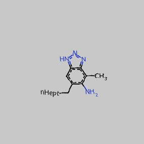 CCCCCCCCc1cc2[nH]nnc2c(C)c1N